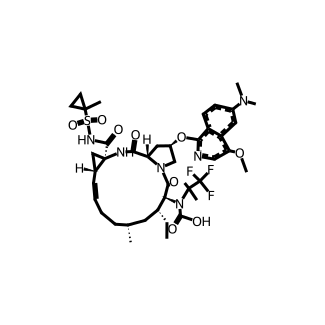 CC[C@@H]1C[C@H](C)CCC=C[C@@H]2C[C@@]2(C(=O)NS(=O)(=O)C2(C)CC2)NC(=O)[C@@H]2C[C@@H](Oc3ncc(OC)c4cc(N(C)C)ccc34)CN2C(=O)[C@H]1N(C(=O)O)C(C)(C)C(F)(F)F